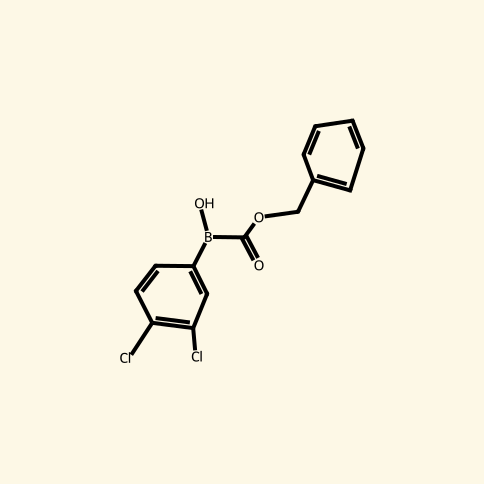 O=C(OCc1ccccc1)B(O)c1ccc(Cl)c(Cl)c1